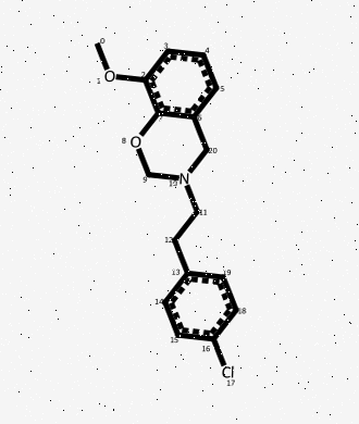 COc1cccc2c1OCN(CCc1ccc(Cl)cc1)C2